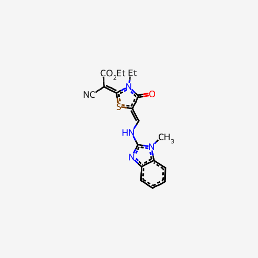 CCOC(=O)C(C#N)=c1sc(=CNc2nc3ccccc3n2C)c(=O)n1CC